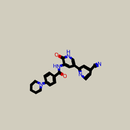 N#Cc1ccnc(-c2c[nH]c(=O)c(NC(=O)c3ccc(N4CCCCC4)cc3)c2)c1